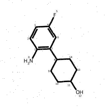 Nc1ccc(F)cc1C1CCC(O)CC1